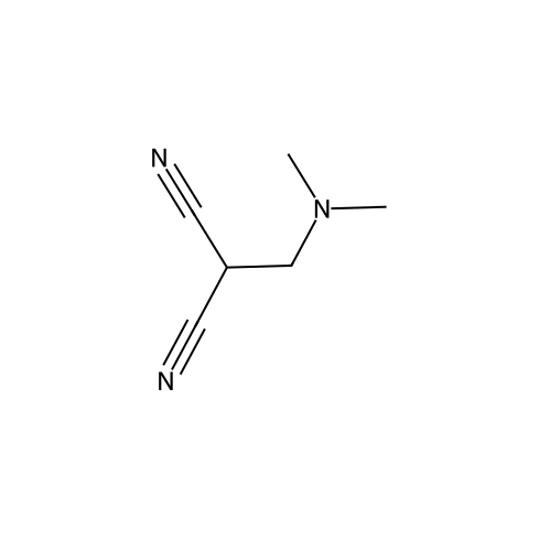 CN(C)CC(C#N)C#N